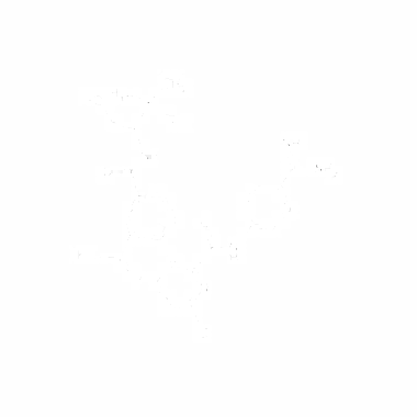 CC(C)(C)C(CO)NC(=O)c1ccc(-c2ccc(Cl)nc2C(=O)Nc2ccc(C(=N)N)cc2)c(C(=O)O)c1